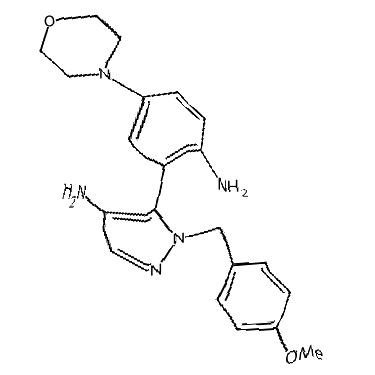 COc1ccc(Cn2ncc(N)c2-c2cc(N3CCOCC3)ccc2N)cc1